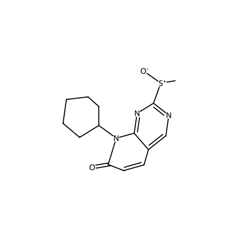 C[S+]([O-])c1ncc2ccc(=O)n(C3CCCCC3)c2n1